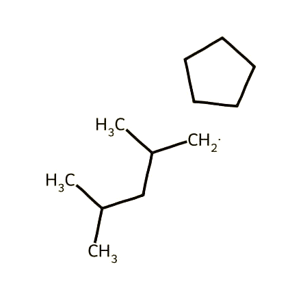 C1CCCC1.[CH2]C(C)CC(C)C